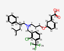 CC(C)C[C@H](CN(CCCOC1=CC=CC(=CC(=O)O)C1)Cc1cccc(C(F)(F)F)c1Cl)c1ccccc1